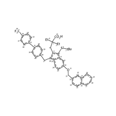 CCC(CC)(Cc1c(SC(C)(C)C)c2cc(OCc3ccc4ccccc4n3)ccc2n1Cc1ccc(-c2ccc(C(F)(F)F)cn2)cc1)C(=O)O